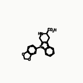 O=C(O)C1Cc2c(n(-c3ccc4c(c3)OCO4)c3ccccc23)CN1